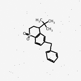 CC(C)(C)C1CCS(=O)(=O)c2ccc(Cc3ccccc3)cc21